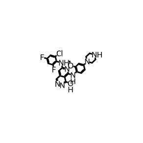 COc1cc(N2CCNCC2)ccc1Nc1nc(Nc2c(F)cc(F)cc2Cl)cc2cnnc(O)c12